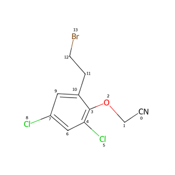 N#CCOc1c(Cl)cc(Cl)cc1CCBr